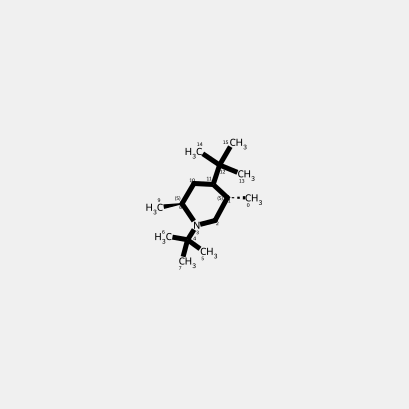 C[C@@H]1CN(C(C)(C)C)[C@@H](C)CC1C(C)(C)C